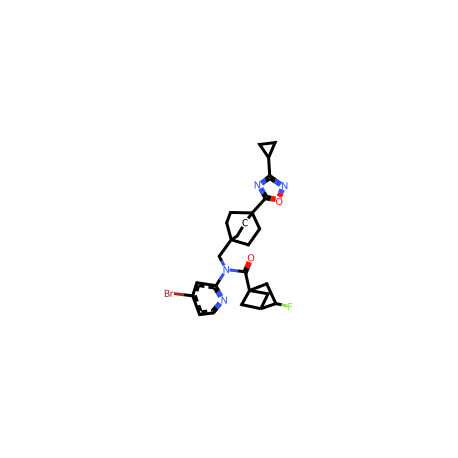 O=C(N(CC12CCC(c3nc(C4CC4)no3)(CC1)CC2)c1cc(Br)ccn1)C12CC(F)C(C1)C2